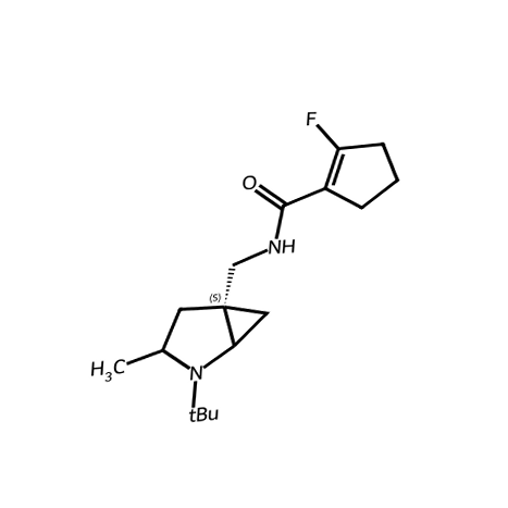 CC1C[C@@]2(CNC(=O)C3=C(F)CCC3)CC2N1C(C)(C)C